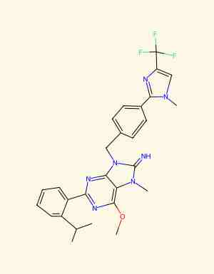 COc1nc(-c2ccccc2C(C)C)nc2c1n(C)c(=N)n2Cc1ccc(-c2nc(C(F)(F)F)cn2C)cc1